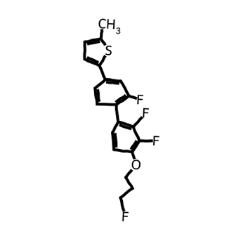 Cc1ccc(-c2ccc(-c3ccc(OCCCF)c(F)c3F)c(F)c2)s1